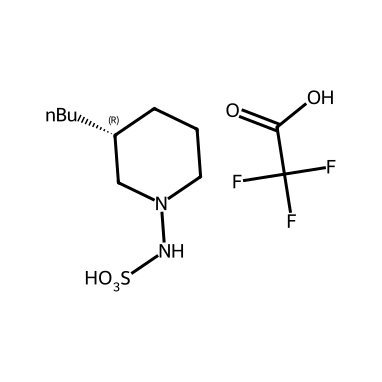 CCCC[C@@H]1CCCN(NS(=O)(=O)O)C1.O=C(O)C(F)(F)F